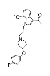 COc1cccc2c(C(C)=O)cn(CCCN3CCC(Oc4ccc(F)cc4)CC3)c12